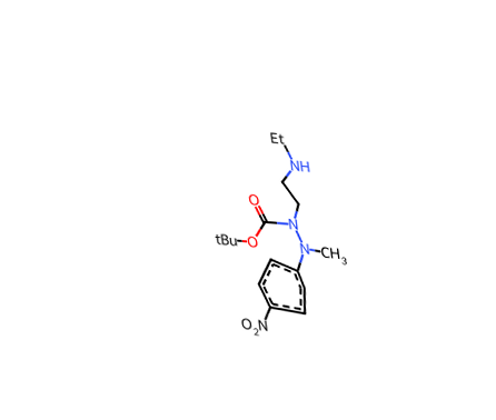 CCNCCN(C(=O)OC(C)(C)C)N(C)c1ccc([N+](=O)[O-])cc1